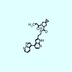 C=CC(=O)N1CC2(CC2)CC1C(=O)NCCc1cc2c(-c3cnn4ncccc34)ccnc2[nH]1